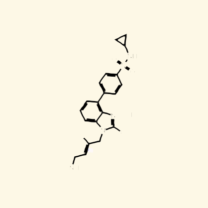 Cl.NC/C=C(\F)Cn1c(C(F)(F)F)nc2c(-c3ccc(S(=O)(=O)NC4CC4)cc3)cccc21